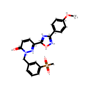 CS(=O)(=O)c1cccc(Cn2nc(-c3nc(-c4ccc(OC(F)(F)F)cc4)no3)ccc2=O)c1